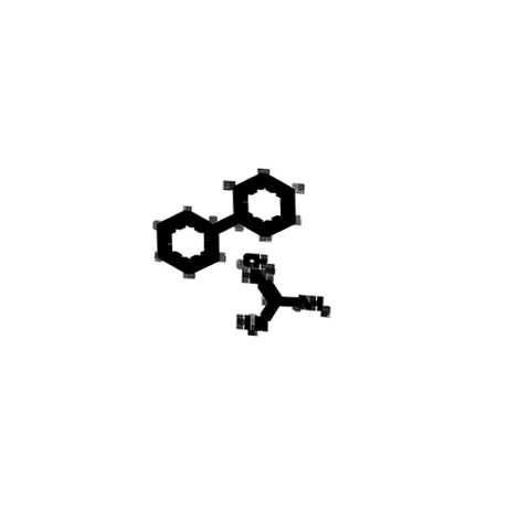 C.N=C(N)N.c1ccc(-c2ccccc2)cc1